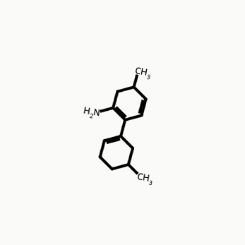 CC1C=CC(C2=CCCC(C)C2)=C(N)C1